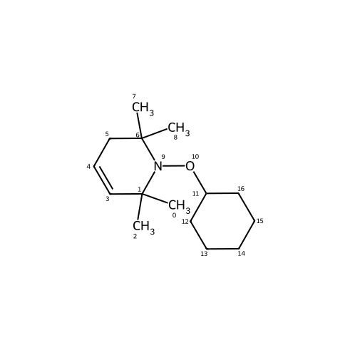 CC1(C)C=CCC(C)(C)N1OC1CCCCC1